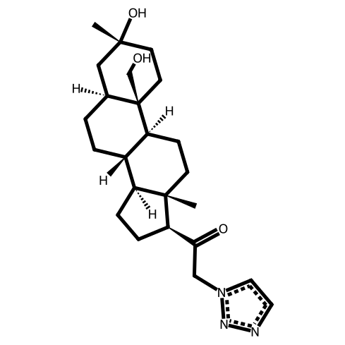 C[C@@]1(O)CC[C@@]2(CO)[C@@H](CC[C@H]3[C@@H]4CC[C@H](C(=O)Cn5ccnn5)[C@@]4(C)CC[C@@H]32)C1